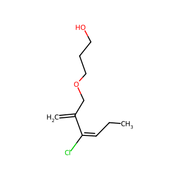 C=C(COCCCO)/C(Cl)=C\CC